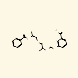 CC(C)OC(=O)c1cccc(OCOC(C)COCC(C)OC(=O)c2ccccc2)c1